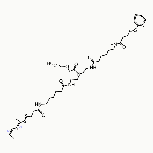 C/C=C\N=C(/C)SSCCC(=O)NCCCCCC(=O)NCCN(CCNC(=O)CCCCCNC(=O)CCSSc1ccccn1)C(=O)COCC(=O)O